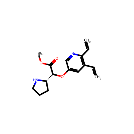 C=Cc1cc(OC(C(=O)OC(C)(C)C)[C@@H]2CCCN2)cnc1C=C